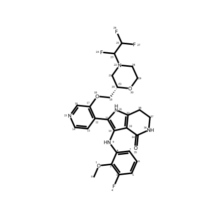 COc1c(F)cccc1Nc1c(-c2ccncc2OC[C@@H]2CN(C(F)C(F)F)CCO2)[nH]c2c1C(=O)NCC2